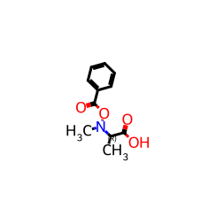 C[C@H](C(=O)O)N(C)OC(=O)c1ccccc1